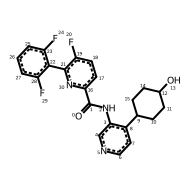 O=C(Nc1cnccc1C1CCC(O)CC1)c1ccc(F)c(-c2c(F)cccc2F)n1